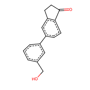 O=C1CCc2cc(-c3cccc(CO)c3)ccc21